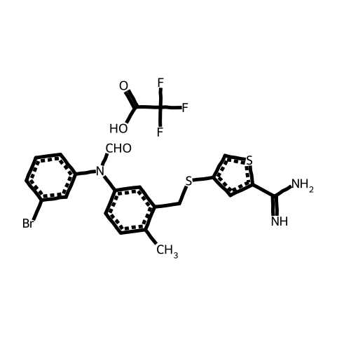 Cc1ccc(N(C=O)c2cccc(Br)c2)cc1CSc1csc(C(=N)N)c1.O=C(O)C(F)(F)F